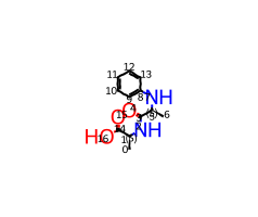 C[C@H](NC(=O)[C@H](C)Nc1ccccc1)C(=O)O